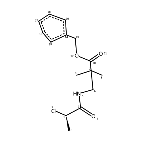 C[C@@H](Cl)C(=O)NCC(C)(C)C(=O)OCc1ccccc1